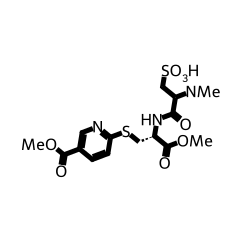 CNC(CS(=O)(=O)O)C(=O)N[C@@H](CSc1ccc(C(=O)OC)cn1)C(=O)OC